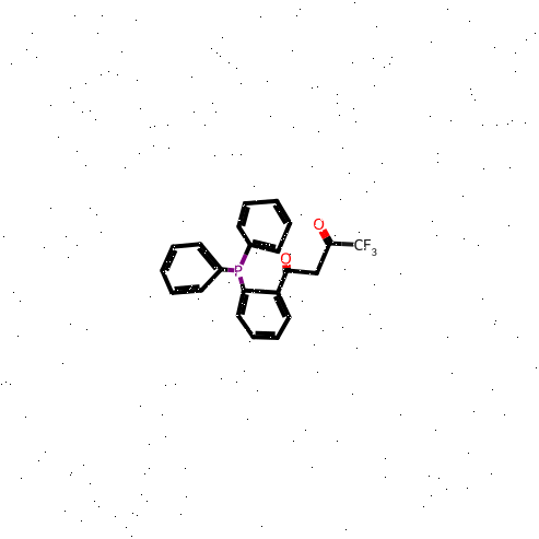 O=C(CC(=O)C(F)(F)F)c1ccccc1P(c1ccccc1)c1ccccc1